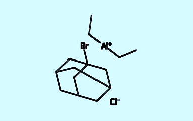 BrC12CC3CC(CC(C3)C1)C2.C[CH2][Al+][CH2]C.[Cl-]